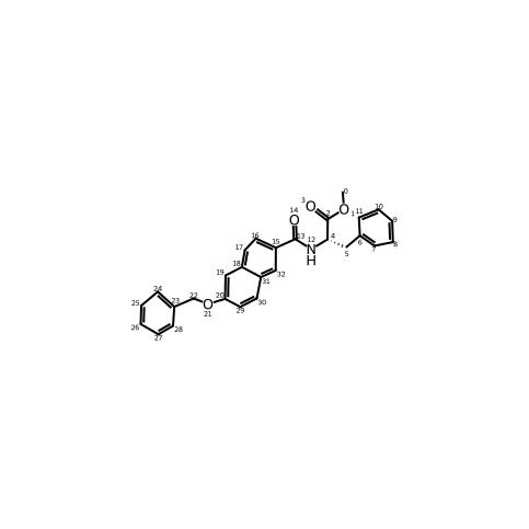 COC(=O)[C@H](Cc1ccccc1)NC(=O)c1ccc2cc(OCc3ccccc3)ccc2c1